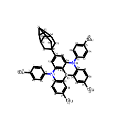 CC(C)(C)c1ccc(N2c3ccc(C(C)(C)C)cc3B3c4cc(C(C)(C)C)ccc4N(c4ccc(C(C)(C)C)cc4)c4cc(C56CC7CC(C5)C5C(C6)C75)cc2c43)cc1